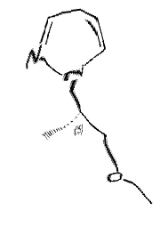 COC[C@H](C)n1cccn1